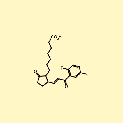 O=C(O)CCCCCCC1C(=O)CCC1/C=C/C(=O)c1cc(F)ccc1F